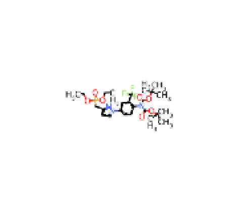 CCOP(=O)(Cc1ccn(-c2ccc(N(C(=O)OC(C)(C)C)C(=O)OC(C)(C)C)c(C(F)(F)F)c2)n1)OCC